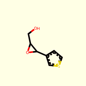 OCC1OC1c1ccsc1